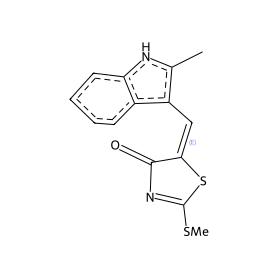 CSC1=NC(=O)/C(=C\c2c(C)[nH]c3ccccc23)S1